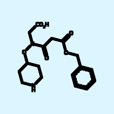 O=C(O)CN(OC1CCNCC1)C(=O)CC(=O)OCc1ccccc1